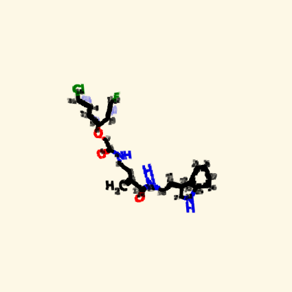 C=C(CCNC(=O)COC(/C=C/F)=C/C=C/Cl)C(=O)NCCC1CNc2ccccc21